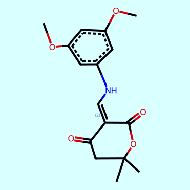 COc1cc(N/C=C2/C(=O)CC(C)(C)OC2=O)cc(OC)c1